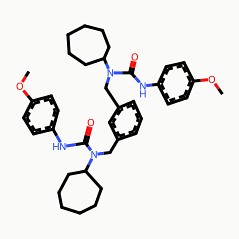 COc1ccc(NC(=O)N(Cc2cccc(CN(C(=O)Nc3ccc(OC)cc3)C3CCCCCC3)c2)C2CCCCCC2)cc1